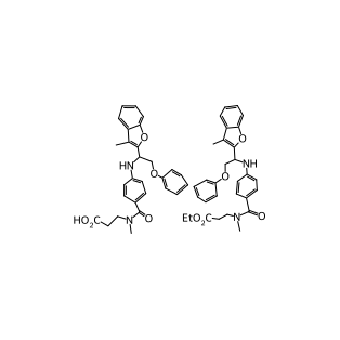 CCOC(=O)CCN(C)C(=O)c1ccc(NC(COc2ccccc2)c2oc3ccccc3c2C)cc1.Cc1c(C(COc2ccccc2)Nc2ccc(C(=O)N(C)CCC(=O)O)cc2)oc2ccccc12